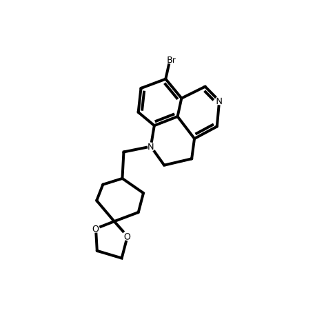 Brc1ccc2c3c(cncc13)CCN2CC1CCC2(CC1)OCCO2